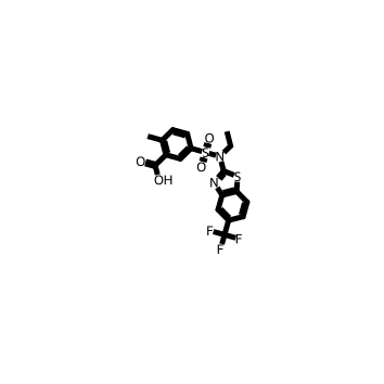 CCN(c1nc2cc(C(F)(F)F)ccc2s1)S(=O)(=O)c1ccc(C)c(C(=O)O)c1